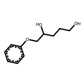 OCCCC(O)COc1ccccc1